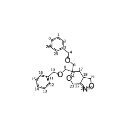 c1ccc(COCC2(COCc3ccccc3)CC3CON=C3CO2)cc1